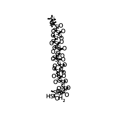 C[SiH](O[SiH2][Si](=O)[Si](=O)[Si](=O)[Si](=O)[Si](=O)[Si](=O)[Si](=O)[Si](=O)[Si](=O)[Si](=O)[Si](=O)[Si](=O)[Si](=O)[Si](=O)[Si](=O)[Si](=O)[Si](=O)[Si](=O)[Si](=O)[Si](=O)[Si](=O)[Si](=O)[Si](=O)[Si](=O)[Si](C)(C)O[Si](C)(C)C)[SiH]=O